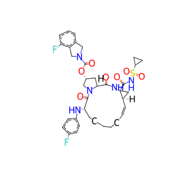 O=C1N[C@]2(C(=O)NS(=O)(=O)C3CC3)C[C@H]2C=CCCCCC[C@H](Nc2ccc(F)cc2)C(=O)N2C[C@H](OC(=O)N3Cc4cccc(F)c4C3)C[C@@H]12